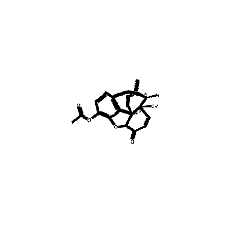 CC(=O)Oc1ccc2c3c1OC1C(=O)C=C[C@@]4(O)[C@@H](C2)N(C)CC[C@]314